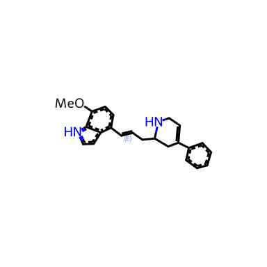 COc1ccc(/C=C/CC2CC(c3ccccc3)=CCN2)c2cc[nH]c12